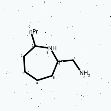 CCCC1CCCCC(CN)N1